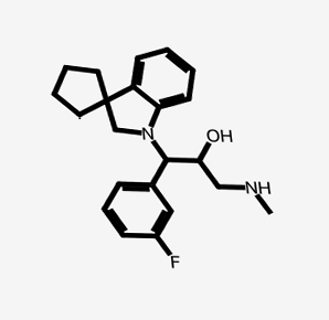 CNCC(O)C(c1cccc(F)c1)N1CC2([CH]CCC2)c2ccccc21